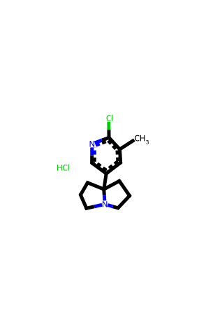 Cc1cc(C23CCCN2CCC3)cnc1Cl.Cl